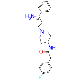 N[C@@H](CCN1CCC(NC(=O)Cc2ccc(F)cc2)CC1)c1ccccc1